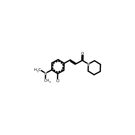 CN(C)c1ccc(/C=C/C(=O)N2CCCCC2)cc1Cl